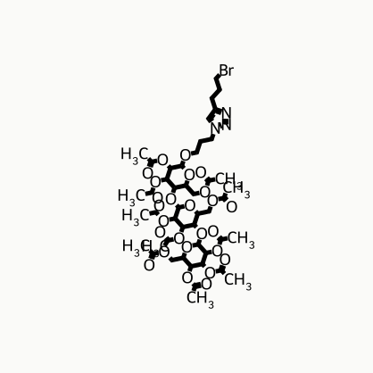 CC(=O)OCC1OC(OC2C(COC(C)=O)OC(OC3C(COC(C)=O)OC(OCCCn4cc(CCCBr)nn4)C(OC(C)=O)C3OC(C)=O)C(OC(C)=O)C2OC(C)=O)C(OC(C)=O)C(OC(C)=O)C1OC(C)=O